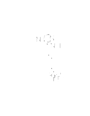 CCCS(=O)(=O)N1CCC(N2CCC(Nc3nccc(N4CCCCCC4)n3)C2)CC1